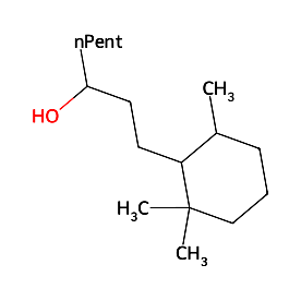 CCCCCC(O)CCC1C(C)CCCC1(C)C